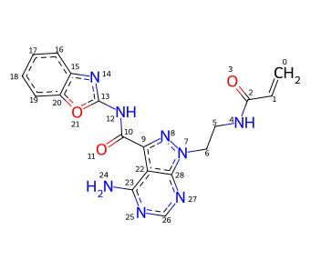 C=CC(=O)NCCn1nc(C(=O)Nc2nc3ccccc3o2)c2c(N)ncnc21